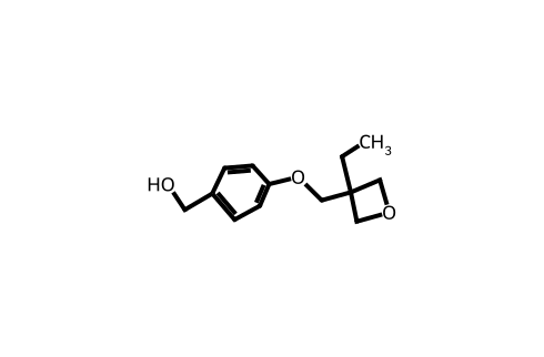 CCC1(COc2ccc(CO)cc2)COC1